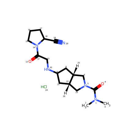 CN(C)C(=O)N1C[C@H]2CC(NCC(=O)N3CCCC3C#N)C[C@H]2C1.Cl